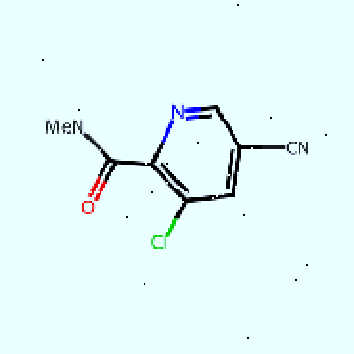 CNC(=O)c1ncc(C#N)cc1Cl